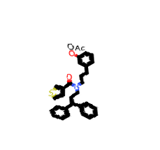 CC(=O)OOc1cccc(CCCN(CCC(c2ccccc2)c2ccccc2)C(=O)c2ccsc2)c1